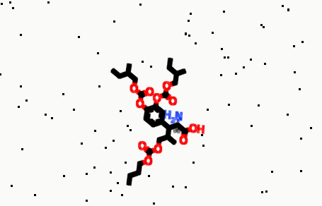 CCCCOC(=O)OCC(C)C(c1ccc(OC(=O)OCC(C)CC)c(OC(=O)OCC(C)CC)c1)[C@H](N)C(=O)O